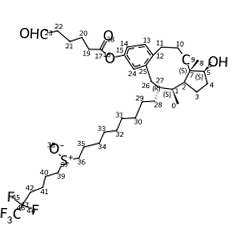 C[C@@H]1C2CC[C@H](O)[C@@]2(C)CCCc2ccc(OC(=O)CCCCC=O)cc2C[C@H]1CCCCCCCCC[S+]([O-])CCCCC(F)(F)C(F)(F)F